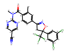 Cc1cc(C2=NOC(c3cc(Cl)cc(Cl)c3)(C(F)(F)F)C2)ccc1C(=O)N(C)c1ncc(C#N)cn1